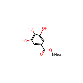 CCCCCCOC(=O)c1cc(O)c(O)c(O)c1